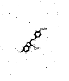 COc1ccc(CCc2oc3cc(Br)ccc3c2OC=O)cc1